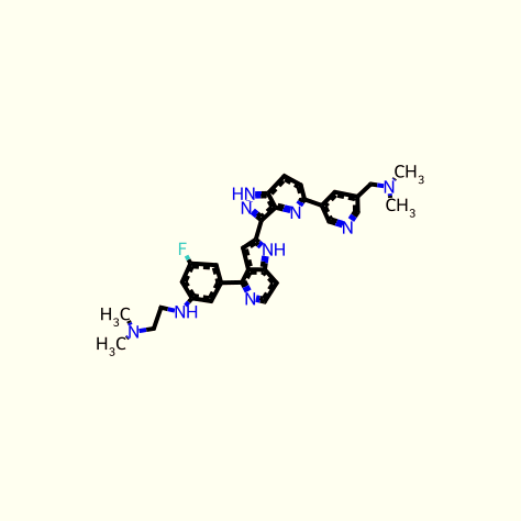 CN(C)CCNc1cc(F)cc(-c2nccc3[nH]c(-c4n[nH]c5ccc(-c6cncc(CN(C)C)c6)nc45)cc23)c1